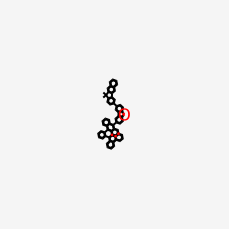 CC1(C)c2ccc(-c3ccc4oc5ccc(-c6c7ccccc7c(-c7ccccc7-c7cc8ccccc8c8ccccc78)c7ccccc67)cc5c4c3)cc2-c2cc3ccccc3cc21